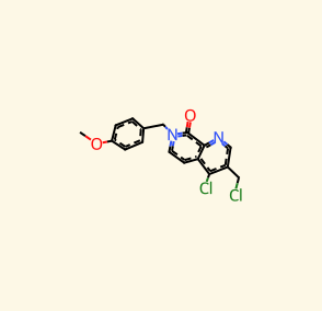 COc1ccc(Cn2ccc3c(Cl)c(CCl)cnc3c2=O)cc1